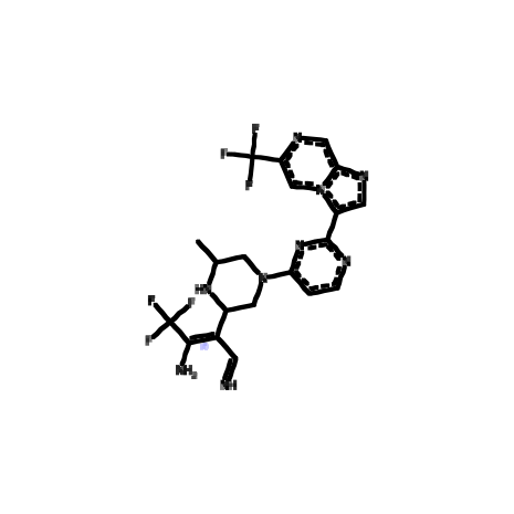 CC1CN(c2ccnc(-c3cnc4cnc(C(F)(F)F)cn34)n2)CC(/C(C=N)=C(/N)C(F)(F)F)N1